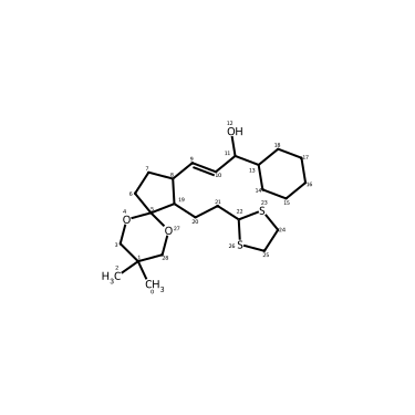 CC1(C)COC2(CCC(C=CC(O)C3CCCCC3)C2CCC2SCCS2)OC1